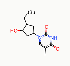 Cc1cn(C2CC(O)C(CC(C)(C)C)C2)c(=O)[nH]c1=O